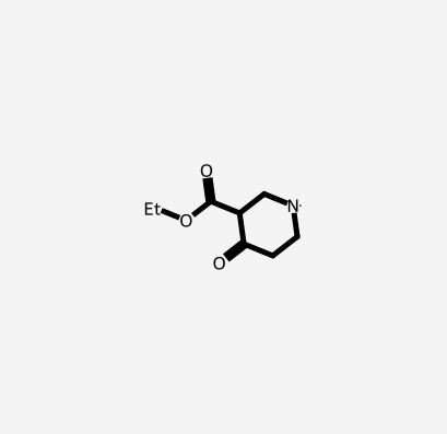 CCOC(=O)C1C[N]CCC1=O